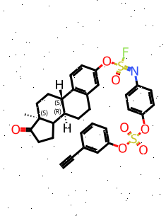 C#Cc1cccc(OS(=O)(=O)Oc2ccc(N=S(=O)(F)Oc3ccc4c(c3)CC[C@H]3C5CCC(=O)[C@@]5(C)CC[C@H]43)cc2)c1